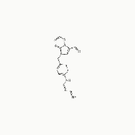 N=C/C=C\NC1=CC=C(Cn2cc(C=O)c3ncccc32)CC1